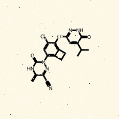 C=C1NC(=O)N(c2cc(Cl)c(Oc3cc(C(C)C)c(=O)[nH]n3)c3c2CC3)N=C1C#N